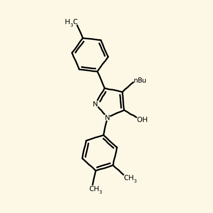 CCCCc1c(-c2ccc(C)cc2)nn(-c2ccc(C)c(C)c2)c1O